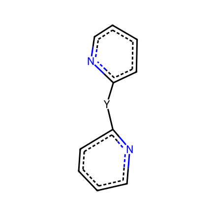 c1cc[c]([Y][c]2ccccn2)nc1